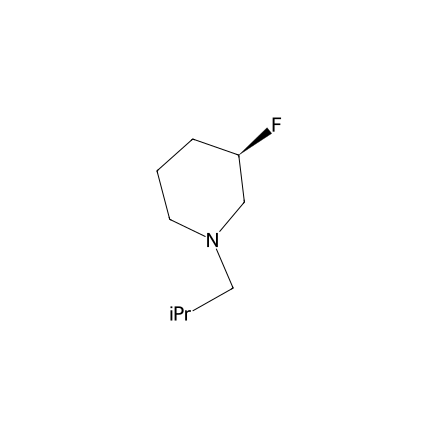 CC(C)CN1CCC[C@@H](F)C1